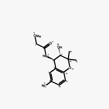 COCC(=O)N[C@@H]1c2cc(C#N)ccc2OC(C)(C)[C@H]1O